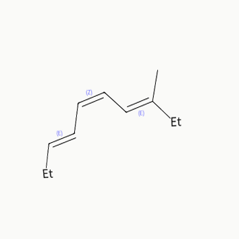 CC/C=C/C=C\C=C(/C)CC